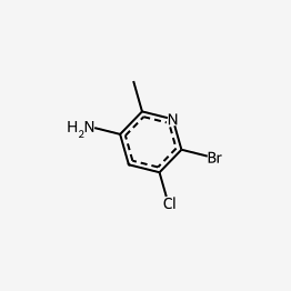 Cc1nc(Br)c(Cl)cc1N